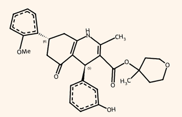 COc1ccccc1[C@H]1CC(=O)C2=C(C1)NC(C)=C(C(=O)OC1(C)CCOCC1)[C@H]2c1cccc(O)c1